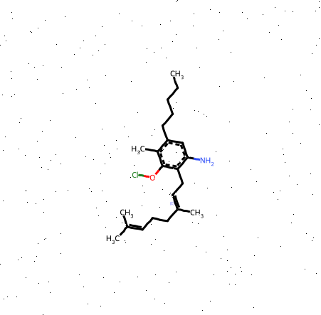 CCCCCc1cc(N)c(C/C=C(\C)CCC=C(C)C)c(OCl)c1C